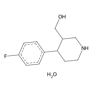 O.OCC1CNCCC1c1ccc(F)cc1